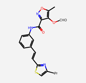 Cc1onc(C(=O)Nc2cccc(/C=C/c3nc(C(C)C)cs3)c2)c1OC=O